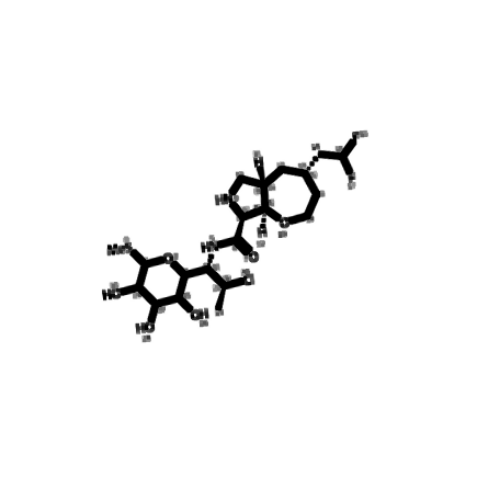 CSC1OC([C@H](NC(=O)[C@H]2NC[C@@H]3C[C@H](CC(F)F)CCO[C@H]32)[C@H](C)Cl)C(O)C(O)C1O